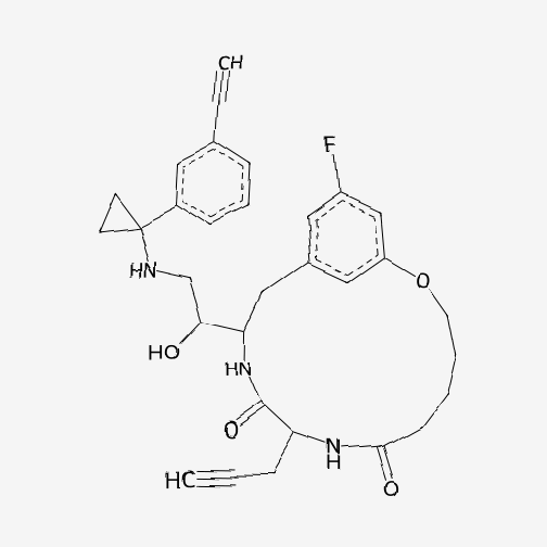 C#CCC1NC(=O)CCCCOc2cc(F)cc(c2)CC(C(O)CNC2(c3cccc(C#C)c3)CC2)NC1=O